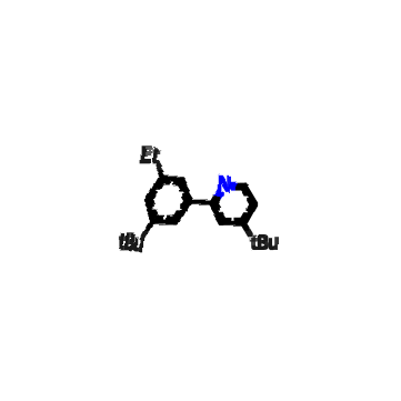 CCc1cc(-c2cc(C(C)(C)C)ccn2)cc(C(C)(C)C)c1